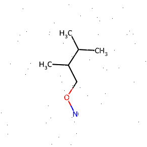 CC(C)C(C)CO[N]